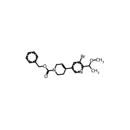 COC(C)c1ncc(C2=CCN(C(=O)OCc3ccccc3)CC2)cc1Br